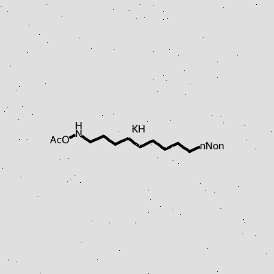 CCCCCCCCCCCCCCCCCCNOC(C)=O.[KH]